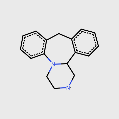 c1ccc2c(c1)Cc1ccccc1N1CC[N]CC21